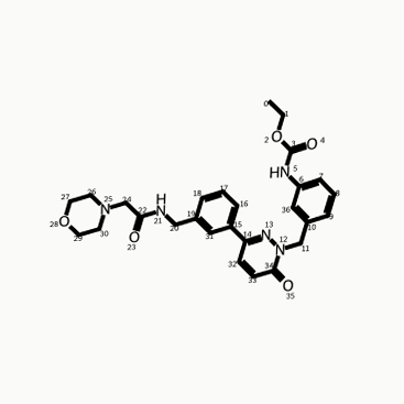 CCOC(=O)Nc1cccc(Cn2nc(-c3cccc(CNC(=O)CN4CCOCC4)c3)ccc2=O)c1